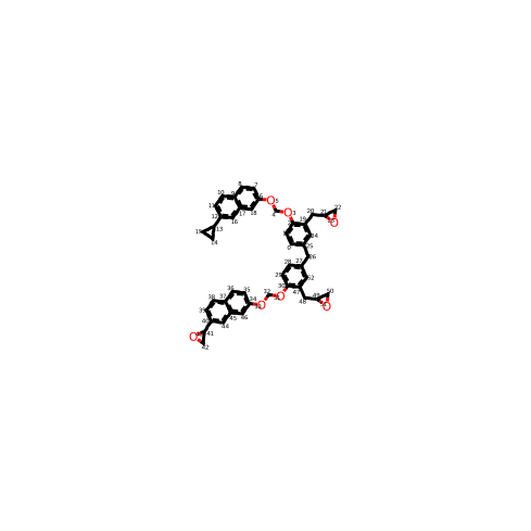 c1cc(OCOc2ccc3ccc(C4CC4)cc3c2)c(CC2CO2)cc1Cc1ccc(OCOc2ccc3ccc(C4CO4)cc3c2)c(CC2CO2)c1